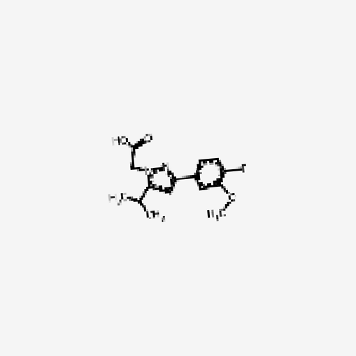 COc1cc(-c2cc(C(C)C)n(CC(=O)O)n2)ccc1F